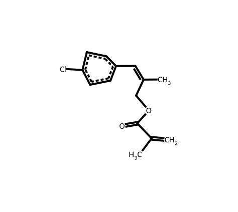 C=C(C)C(=O)OCC(C)=Cc1ccc(Cl)cc1